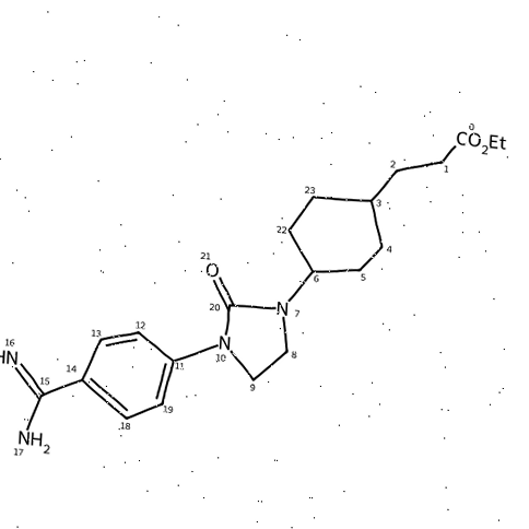 CCOC(=O)CCC1CCC(N2CCN(c3ccc(C(=N)N)cc3)C2=O)CC1